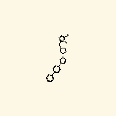 Cn1c(Br)cnc1CN1CC[C@H](N2C=CN(c3ccc(-c4ccccc4)cc3)C2)C1